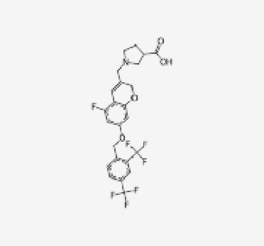 O=C(O)C1CCN(CC2=Cc3c(F)cc(OCc4ccc(C(F)(F)F)cc4C(F)(F)F)cc3OC2)C1